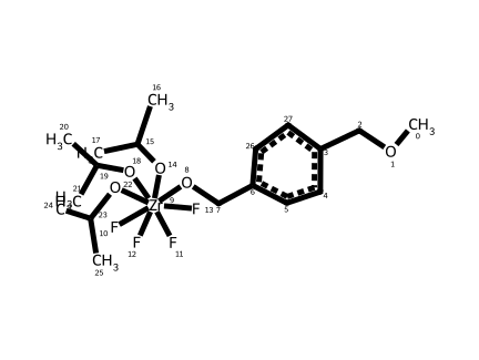 COCc1ccc(C[O][Zr]([F])([F])([F])([F])([O]C(C)C)([O]C(C)C)[O]C(C)C)cc1